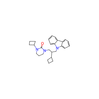 O=C1N(CC(Cn2c3ccccc3c3ccccc32)C2CCC2)CCCN1C1CCC1